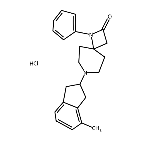 Cc1cccc2c1CC(N1CCC3(CC1)CC(=O)N3c1ccccc1)C2.Cl